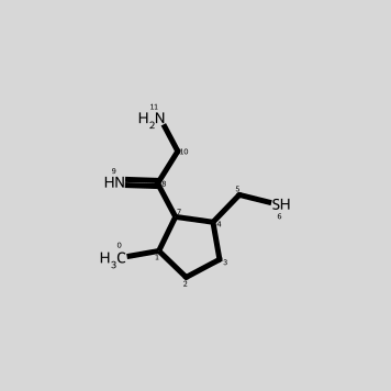 CC1CCC(CS)C1C(=N)CN